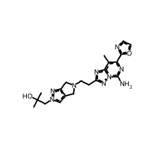 Cc1c(-c2ncco2)nc(N)n2nc(CCN3Cc4cn(CC(C)(C)O)nc4C3)nc12